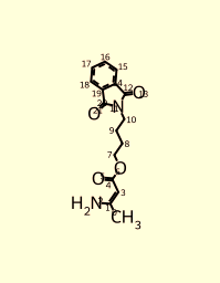 CC(N)=CC(=O)OCCCCN1C(=O)c2ccccc2C1=O